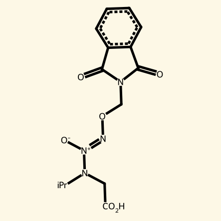 CC(C)N(CC(=O)O)[N+]([O-])=NOCN1C(=O)c2ccccc2C1=O